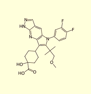 COCC(C)(C)c1c(C2CCC(O)(C(=O)O)CC2)c2nc3[nH]ncc3cc2n1-c1ccc(F)c(F)c1